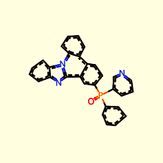 O=P(c1ccccc1)(c1cccnc1)c1ccc2c3ccccc3n3c4ccccc4nc3c2c1